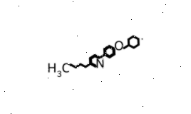 CCCCCc1ccc(-c2ccc(OCC3CC[CH]CC3)cc2)nc1